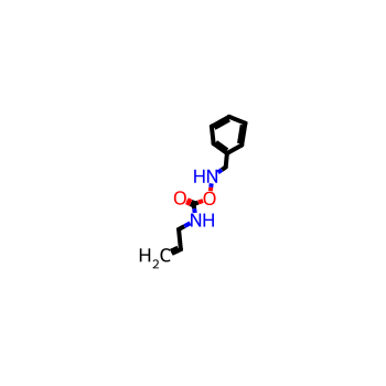 C=CCNC(=O)ONCc1ccccc1